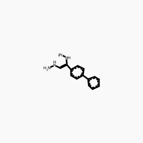 CC(C)N/C(=C\NN)c1ccc(-c2ccccc2)cc1